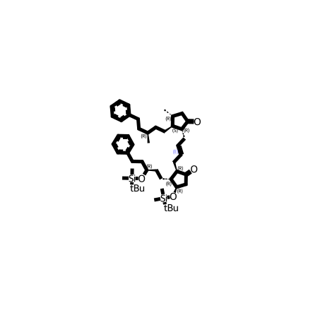 C[C@@H](CCc1ccccc1)CC[C@H]1[C@H](C)CC(=O)[C@@H]1C/C=C/C[C@H]1C(=O)C[C@@H](O[Si](C)(C)C(C)(C)C)[C@@H]1CC[C@H](CCc1ccccc1)O[Si](C)(C)C(C)(C)C